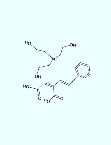 O=C(O)/C=C(/C=Cc1ccccc1)C(=O)O.OCCN(CCO)CCO